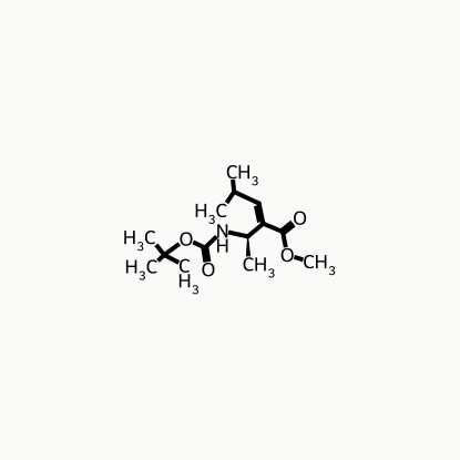 COC(=O)/C(=C/C(C)C)[C@@H](C)NC(=O)OC(C)(C)C